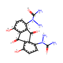 NC(=O)N(N)c1ccc(O)c2c1C(=O)c1c(N(N)C(N)=O)ccc(O)c1C2=O